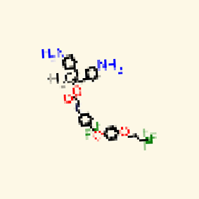 [CH2]C(COC(=O)/C=C/c1ccc(C(F)(F)Oc2ccc(OCCCC(F)(F)F)cc2)cc1)(Cc1ccc(N)cc1)Cc1ccc(N)cc1